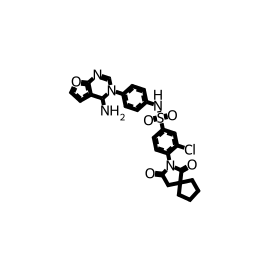 NC1c2ccoc2N=CN1c1ccc(NS(=O)(=O)c2ccc(N3C(=O)CC4(CCCC4)C3=O)c(Cl)c2)cc1